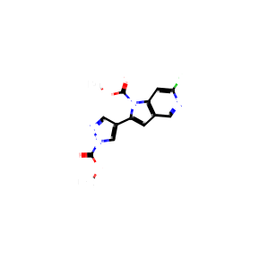 CC(C)(C)OC(=O)n1cc(-c2cc3cnc(Cl)cc3n2C(=O)OC(C)(C)C)cn1